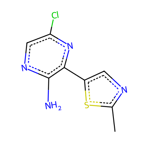 Cc1ncc(-c2nc(Cl)cnc2N)s1